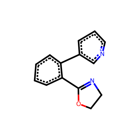 c1cncc(-c2ccccc2C2=NCCO2)c1